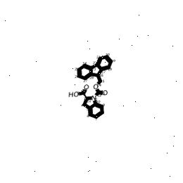 O=C(O)[C@@H]1Cc2ccccc2N1C(=O)OCC1c2ccccc2-c2ccccc21